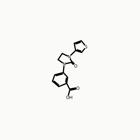 O=C(O)c1cccc(N2CCN(c3ccsc3)C2=O)c1